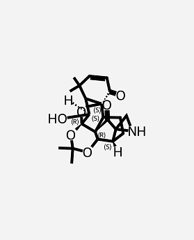 CC1(C)OC2[C@H]3CCC4[C@@]56CO[C@](O1)([C@@H](O)C5C(C)(C)C=CC6=O)[C@@]24C(=O)C31CN1